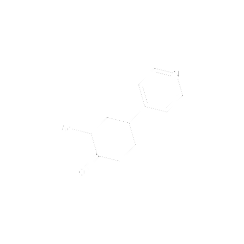 CC(=O)C1CC(c2ccncc2)CCC1=O